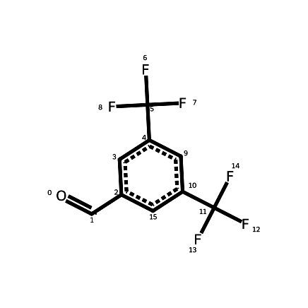 O=[C]c1cc(C(F)(F)F)cc(C(F)(F)F)c1